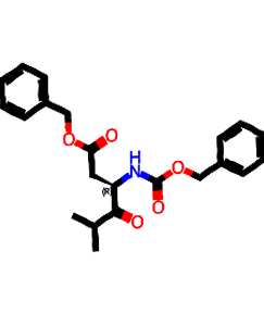 CC(C)C(=O)[C@@H](CC(=O)OCc1ccccc1)NC(=O)OCc1ccccc1